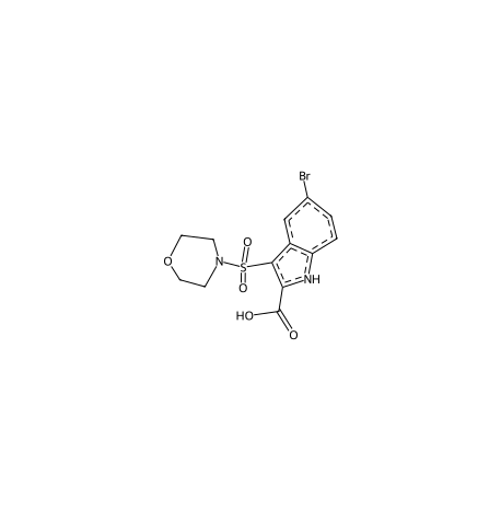 O=C(O)c1[nH]c2ccc(Br)cc2c1S(=O)(=O)N1CCOCC1